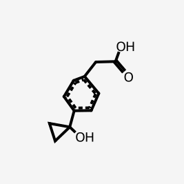 O=C(O)Cc1ccc(C2(O)CC2)cc1